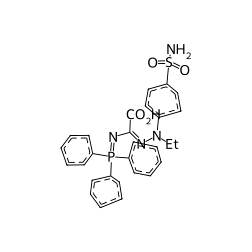 CCN(N=C(N=P(c1ccccc1)(c1ccccc1)c1ccccc1)C(=O)O)c1ccc(S(N)(=O)=O)cc1